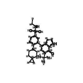 [2H]C([2H])([2H])n1cc(-c2cc(S(=O)(=O)NCC)cnc2N2CCC3(CC2)CC3)c2cc[nH]c2c1=O